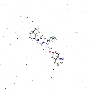 Cl.[AlH3].[LiH].c1cc(N2CCN(CCCOc3ccc4c(c3)CCCN4)CC2)c2ccsc2c1